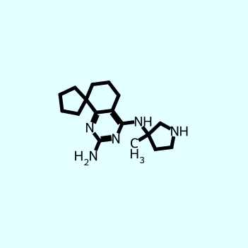 CC1(Nc2nc(N)nc3c2CCCC32CCCC2)CCNC1